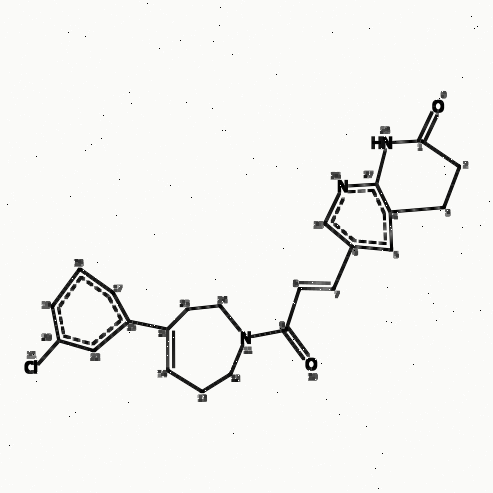 O=C1CCc2cc(/C=C/C(=O)N3CCC=C(c4cccc(Cl)c4)CC3)cnc2N1